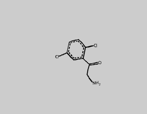 NCC(=O)c1cc(Cl)ccc1Cl